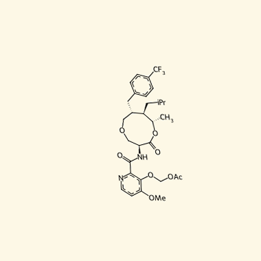 COc1ccnc(C(=O)N[C@H]2COC[C@H](Cc3ccc(C(F)(F)F)cc3)[C@@H](CC(C)C)[C@H](C)OC2=O)c1OCOC(C)=O